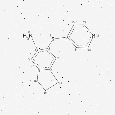 Nc1cc2c(cc1Sc1ccncc1)CCC2